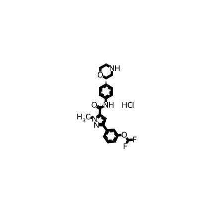 Cl.Cn1nc(-c2cccc(OC(F)F)c2)cc1C(=O)Nc1ccc([C@H]2CNCCO2)cc1